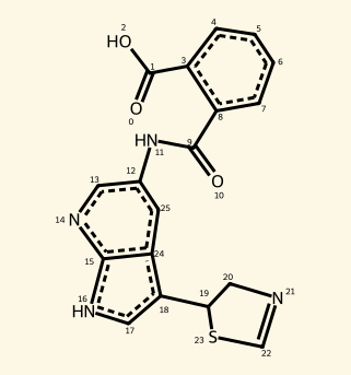 O=C(O)c1ccccc1C(=O)Nc1cnc2[nH]cc(C3CN=CS3)c2c1